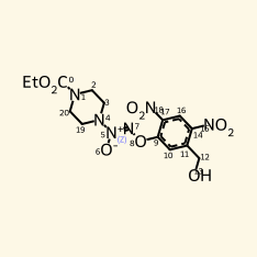 CCOC(=O)N1CCN(/[N+]([O-])=N/Oc2cc(CO)c([N+](=O)[O-])cc2[N+](=O)[O-])CC1